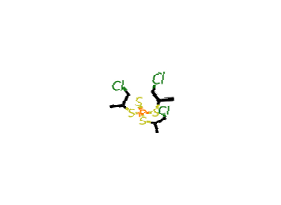 CC(CCl)SP(=S)(SC(C)CCl)SC(C)CCl